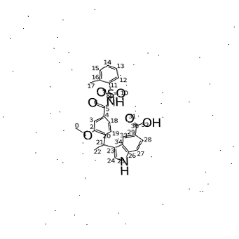 COc1cc(C(=O)NS(=O)(=O)c2ccccc2C)ccc1C(C)c1c[nH]c2ccc(C(=O)O)cc12